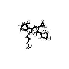 COCCCn1cc(CN(C(=O)C2CNCCO2)C2CC2)c2c(Cl)ccnc21